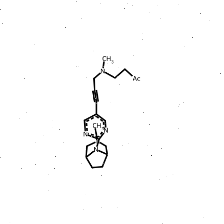 CC(=O)CCN(C)CC#Cc1cnc(N2C3CCC2CN(C)C3)nc1